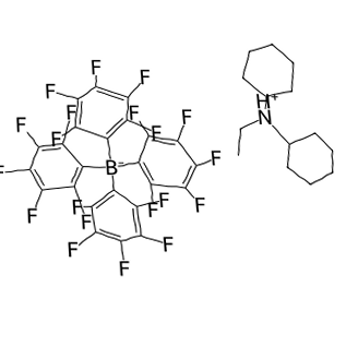 CC[NH+](C1CCCCC1)C1CCCCC1.Fc1c(F)c(F)c([B-](c2c(F)c(F)c(F)c(F)c2F)(c2c(F)c(F)c(F)c(F)c2F)c2c(F)c(F)c(F)c(F)c2F)c(F)c1F